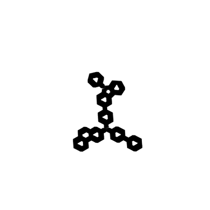 c1ccc(-c2ccc(N(c3ccc(-c4ccc5c(c4)c4ccccc4n5-c4ccccc4)cc3)c3ccc4c(ccc5ccccc54)c3)cc2)cc1